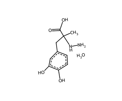 CC(Cc1ccc(O)c(O)c1)(NN)C(=O)O.O